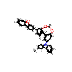 N#Cc1ccc2c(c1)c1ccccc1n2-c1ccc2c(c1)-c1ccc(-c3ccc4c(c3)oc3ccccc34)cc1OCO2